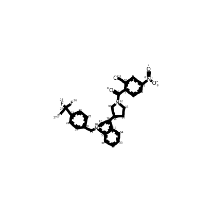 O=C(c1ccc([N+](=O)[O-])cc1Cl)N1CCC(c2cn(Cc3ccc(C(F)(F)F)cc3)c3ccccc23)C1